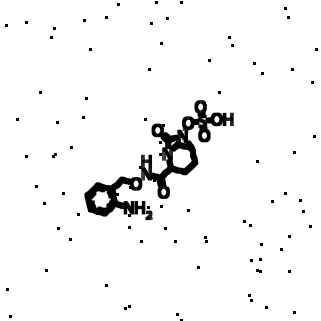 Nc1ccccc1CONC(=O)C1CCC2CN1C(=O)N2OS(=O)(=O)O